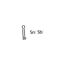 [O]=[Bi].[Sb].[Sn]